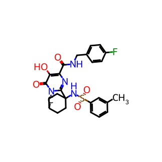 Cc1cccc(S(=O)(=O)NC23CCC(CC2)Cn2c3nc(C(=O)NCc3ccc(F)cc3)c(O)c2=O)c1